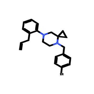 C=CCc1ccccc1N1CCN(Cc2ccc(CC)cc2)C2(CC2)C1